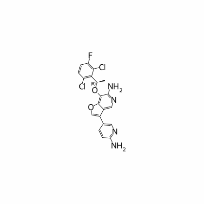 C[C@@H](Oc1c(N)ncc2c(-c3ccc(N)nc3)coc12)c1c(Cl)ccc(F)c1Cl